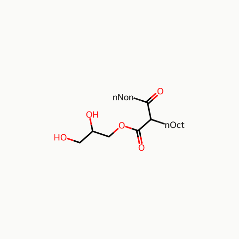 CCCCCCCCCC(=O)C(CCCCCCCC)C(=O)OCC(O)CO